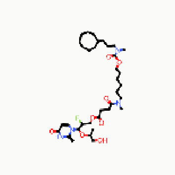 C=C1NC(=O)C=CN1C(OC(C)CO)C(F)COC(=O)CCC(=O)N(C)CCCCCCOC(=O)N(C)CCCC1CCCCCCC1